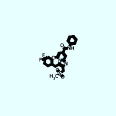 Cc1cc(C(=O)Nc2ccccc2)cc2nc(CS(C)(=O)=O)c(CC3CCC(F)(F)CC3)n12